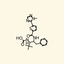 Cn1ncnc1-c1ccc(C(=O)NC(Cc2ccccc2)C(NC(=O)O)C(C)(C)C)s1